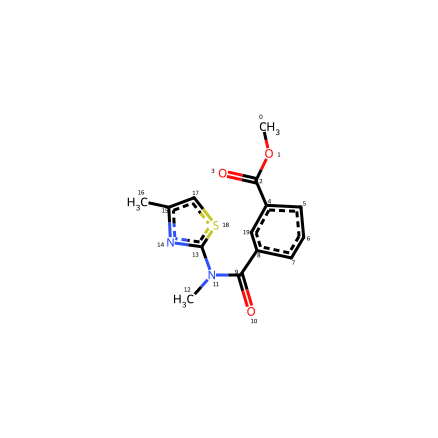 COC(=O)c1cccc(C(=O)N(C)c2nc(C)cs2)c1